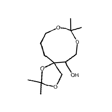 CC1(C)OCCCC2(COC(C)(C)O2)C(O)CO1